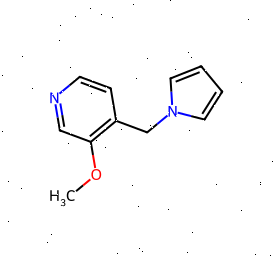 COc1cnccc1Cn1cccc1